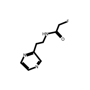 O=C(CF)NCCc1cnccn1